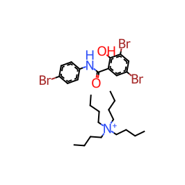 CCCC[N+](CCCC)(CCCC)CCCC.O=C(Nc1ccc(Br)cc1)c1cc(Br)cc(Br)c1O